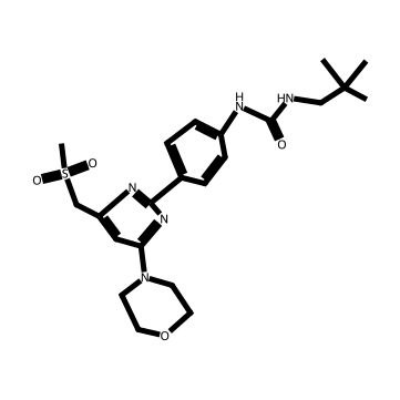 CC(C)(C)CNC(=O)Nc1ccc(-c2nc(CS(C)(=O)=O)cc(N3CCOCC3)n2)cc1